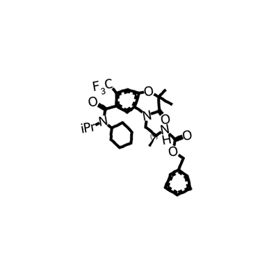 CC(C)N(C(=O)c1cc2c(cc1C(F)(F)F)OC(C)(C)C(=O)N2C[C@H](C)NC(=O)OCc1ccccc1)C1CCCCC1